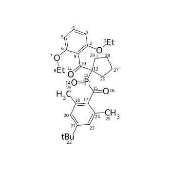 CCOc1cccc(OCC)c1C(=O)C1([P](=O)C(=O)c2c(C)cc(C(C)(C)C)cc2C)CCCC1